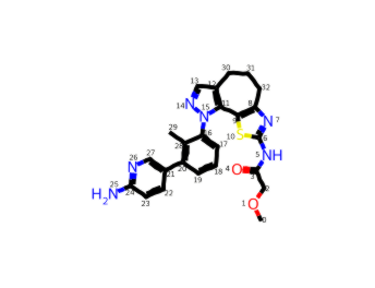 COCC(=O)Nc1nc2c(s1)-c1c(cnn1-c1cccc(-c3ccc(N)nc3)c1C)CCC2